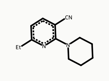 CCc1ccc(C#N)c(N2CCCCC2)n1